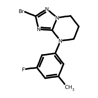 Cc1cc(F)cc(N2CCCn3nc(Br)nc32)c1